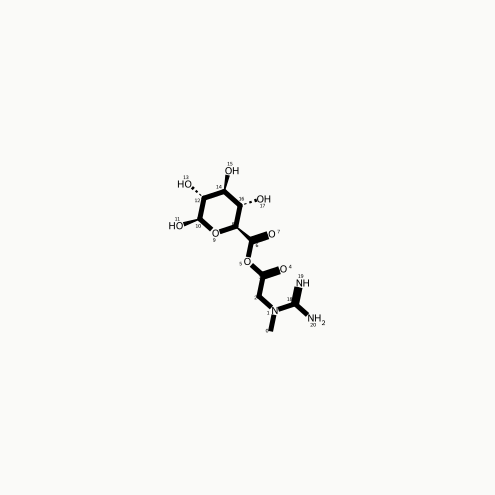 CN(CC(=O)OC(=O)[C@H]1O[C@@H](O)[C@H](O)[C@@H](O)[C@@H]1O)C(=N)N